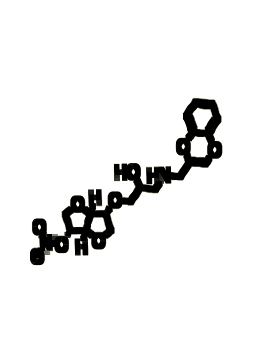 O=[N+]([O-])O[C@@H]1CO[C@H]2[C@@H]1OC[C@@H]2OCC(O)CNCC1=COc2ccccc2O1